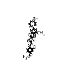 Cc1nc(N2CCCN(C)CC2)nc2ncc(NC(=O)COc3ccc(OC(F)(F)F)cc3Cl)nc12